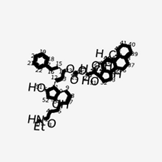 CCNC(=O)CCC/C=C\C[C@@H]1[C@@H](/C=C/[C@H](CCc2ccccc2)OC(=O)OCC(=O)[C@@]2(O)CC[C@H]3[C@@H]4CCC5=CCCC[C@]5(C)C4=CC[C@@]32C)[C@H](O)C[C@@H]1O